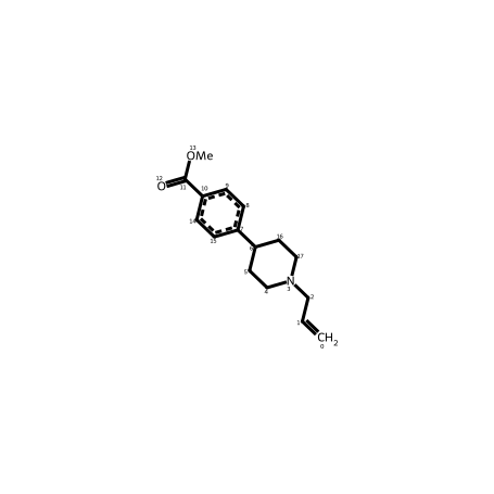 C=CCN1CCC(c2ccc(C(=O)OC)cc2)CC1